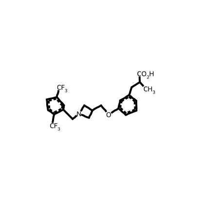 CC(Cc1cccc(OCC2CN(Cc3cc(C(F)(F)F)ccc3C(F)(F)F)C2)c1)C(=O)O